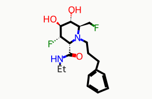 CCNC(=O)[C@@H]1[C@H](F)[C@@H](O)[C@H](O)[C@@H](CF)N1CCCc1ccccc1